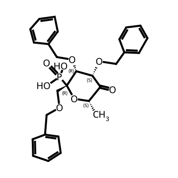 C[C@@H]1O[C@](COCc2ccccc2)(P(=O)(O)O)[C@H](OCc2ccccc2)[C@H](OCc2ccccc2)C1=O